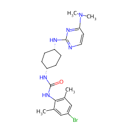 Cc1cc(Br)cc(C)c1NC(=O)N[C@H]1CC[C@@H](Nc2nccc(N(C)C)n2)CC1